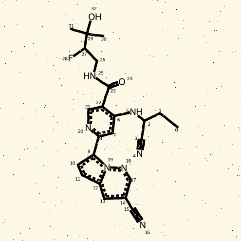 CCC(C#N)Nc1cc(-c2ccc3cc(C#N)cnn23)ncc1C(=O)NCC(F)C(C)(C)O